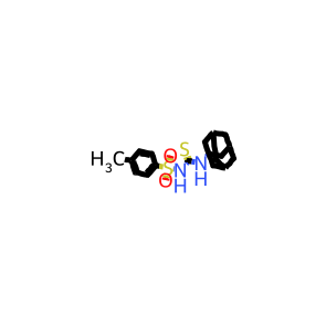 Cc1ccc(S(=O)(=O)NC(=S)NC23CC4CC(CC(C4)C2)C3)cc1